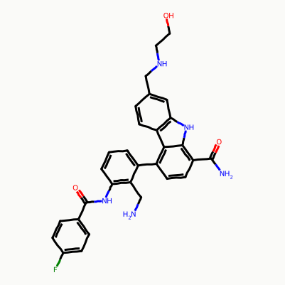 NCc1c(NC(=O)c2ccc(F)cc2)cccc1-c1ccc(C(N)=O)c2[nH]c3cc(CNCCO)ccc3c12